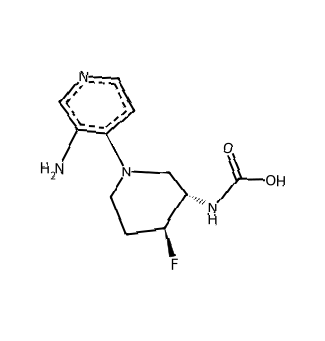 Nc1cnccc1N1CC[C@H](F)[C@@H](NC(=O)O)C1